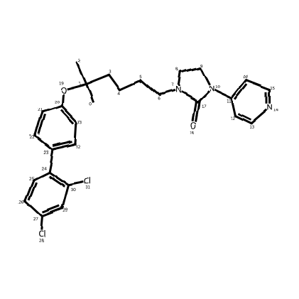 CC(C)(CCCCN1CCN(c2ccncc2)C1=O)Oc1ccc(-c2ccc(Cl)cc2Cl)cc1